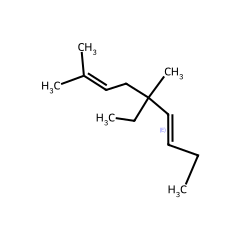 CC/C=C/C(C)(CC)CC=C(C)C